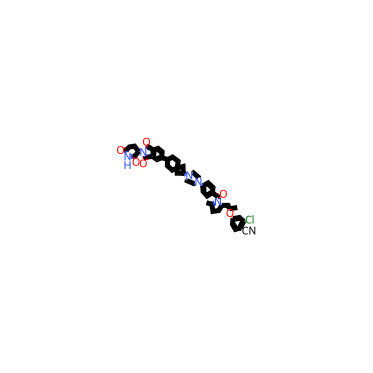 CC(CC1CCC(C)N1C(=O)c1ccc(N2CCN(C3CC4(CCC(c5ccc6c(c5)C(=O)N(C5CCC(=O)NC5=O)C6=O)CC4)C3)CC2)cc1)Oc1ccc(C#N)c(Cl)c1